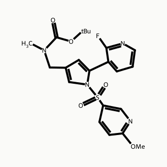 COc1ccc(S(=O)(=O)n2cc(CN(C)C(=O)OC(C)(C)C)cc2-c2cccnc2F)cn1